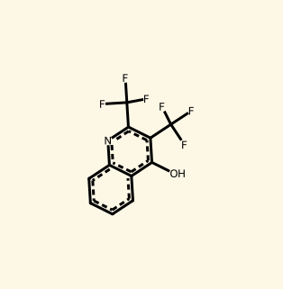 Oc1c(C(F)(F)F)c(C(F)(F)F)nc2ccccc12